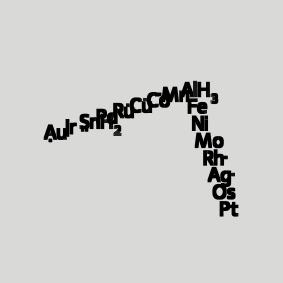 [Ag].[AlH3].[Au].[Co].[Cu].[Fe].[Ir].[Mn].[Mo].[Ni].[Os].[Pd].[Pt].[Rh].[Ru].[SnH2]